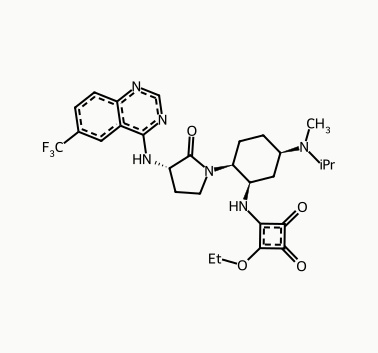 CCOc1c(N[C@@H]2C[C@H](N(C)C(C)C)CC[C@@H]2N2CC[C@H](Nc3ncnc4ccc(C(F)(F)F)cc34)C2=O)c(=O)c1=O